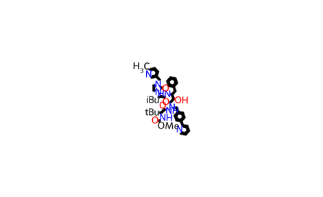 CCC(C)C(C(=O)NC(Cc1ccccc1)C(O)CN(Cc1ccc(-c2ccccn2)cc1)NC(=O)C(NC(=O)OC)C(C)(C)C)N1CCN(Cc2ccc(C)nc2)C1=O